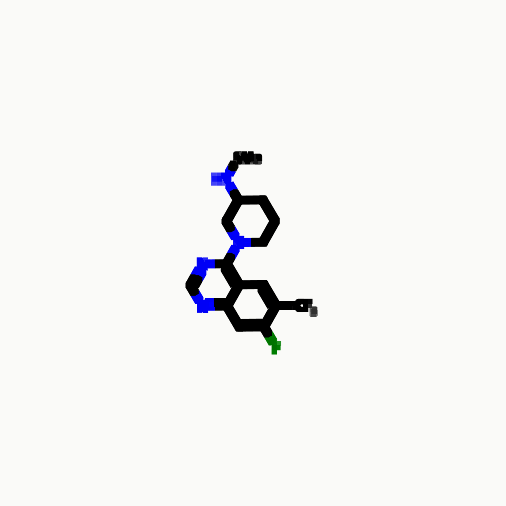 CSNC1CCCN(c2ncnc3cc(F)c(C(F)(F)F)cc23)C1